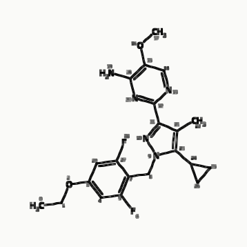 CCOc1cc(F)c(Cn2nc(-c3ncc(OC)c(N)n3)c(C)c2C2CC2)c(F)c1